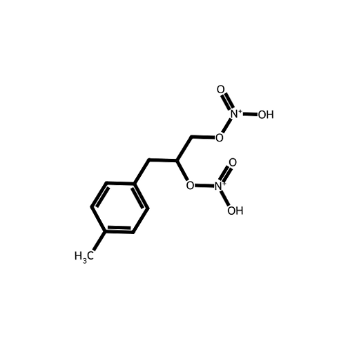 Cc1ccc(CC(CO[N+](=O)O)O[N+](=O)O)cc1